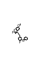 CCOc1ccc(C2(CCCc3ccc(F)c(Oc4ccccc4)c3)CC2(F)F)cc1